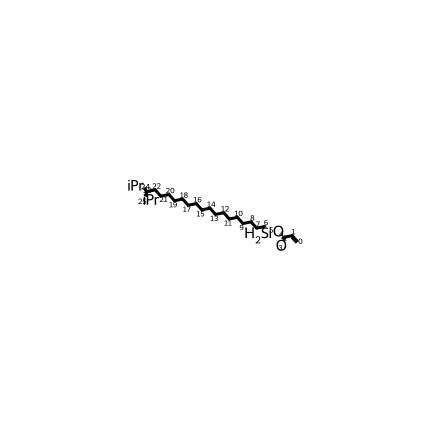 C=CC(=O)O[SiH2]CCCCCCCCCCCCCCCCCC(C(C)C)C(C)C